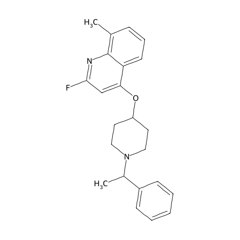 Cc1cccc2c(OC3CCN(C(C)c4ccccc4)CC3)cc(F)nc12